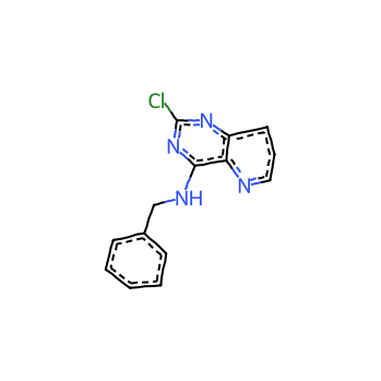 Clc1nc(NCc2ccccc2)c2ncccc2n1